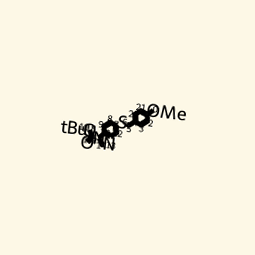 COc1ccc(CSc2ccc3c(c2)ncn3C(=O)OC(C)(C)C)cc1